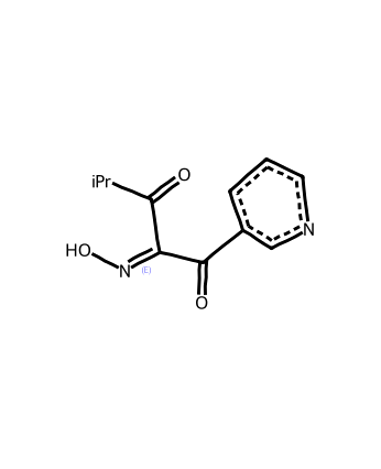 CC(C)C(=O)/C(=N\O)C(=O)c1cccnc1